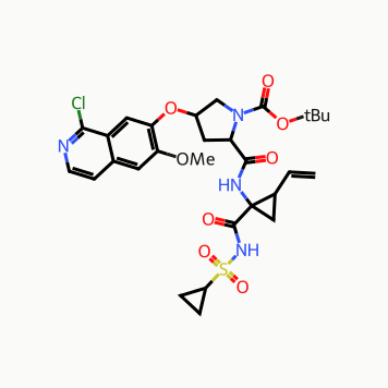 C=CC1CC1(NC(=O)C1CC(Oc2cc3c(Cl)nccc3cc2OC)CN1C(=O)OC(C)(C)C)C(=O)NS(=O)(=O)C1CC1